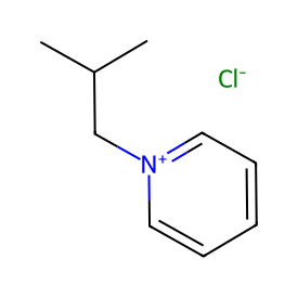 CC(C)C[n+]1ccccc1.[Cl-]